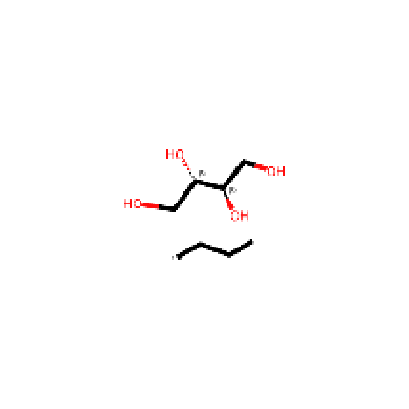 OC[C@@H](O)[C@@H](O)CO.[CH2]CCC